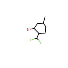 CC1C[CH]C(C(F)F)C(Br)C1